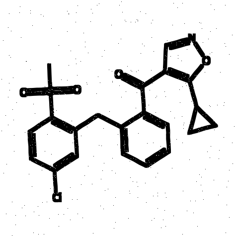 CS(=O)(=O)c1ccc(Cl)cc1Cc1ccccc1C(=O)c1cnoc1C1CC1